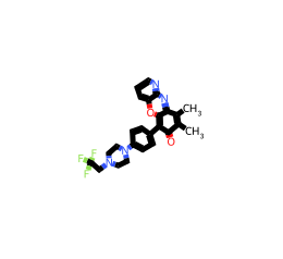 Cc1c2nc3ncccc3oc-2c(-c2ccc(N3CCN(CC(F)(F)F)CC3)cc2)c(=O)c1C